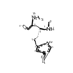 CN[C@H](Cc1c[nH]cn1)C(N)=O